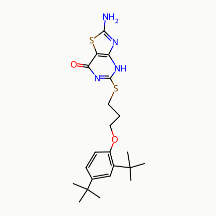 CC(C)(C)c1ccc(OCCCSc2nc(=O)c3sc(N)nc3[nH]2)c(C(C)(C)C)c1